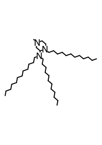 CCCCCCCCCCCCN(CCCCCCCCCCCC)C1CN(C)CCN1CCCCCCCCCCCC